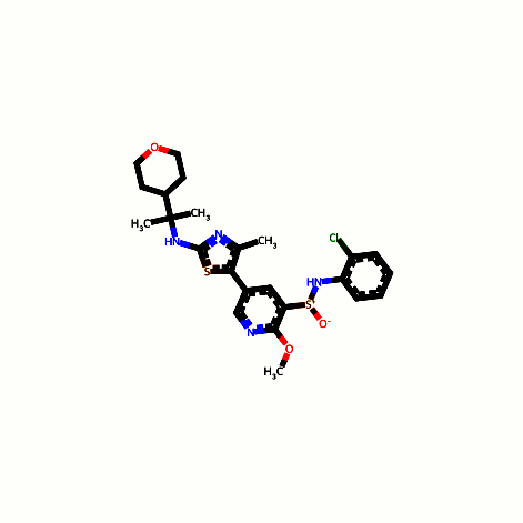 COc1ncc(-c2sc(NC(C)(C)C3CCOCC3)nc2C)cc1[S+]([O-])Nc1ccccc1Cl